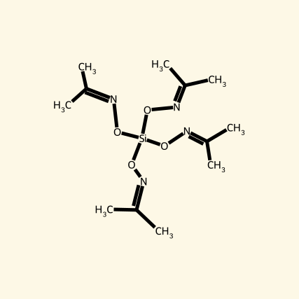 CC(C)=NO[Si](ON=C(C)C)(ON=C(C)C)ON=C(C)C